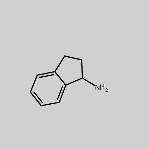 N[C]1CCc2ccccc21